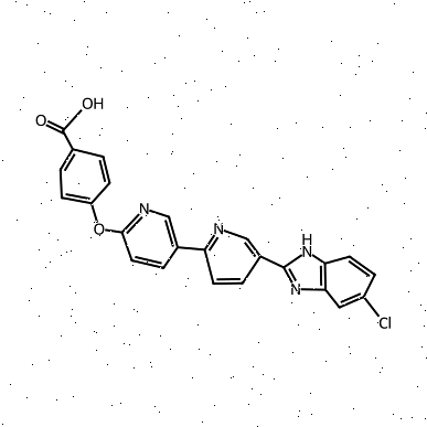 O=C(O)c1ccc(Oc2ccc(-c3ccc(-c4nc5cc(Cl)ccc5[nH]4)cn3)cn2)cc1